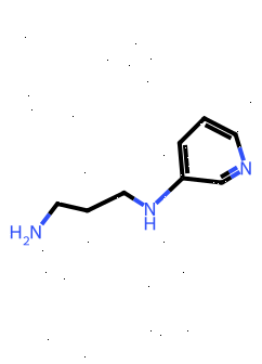 NCCCNc1cccnc1